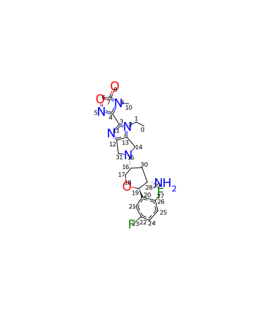 CCn1c(-c2noc(=O)n2C)nc2c1CN([C@H]1CO[C@H](c3cc(F)ccc3F)[C@@H](N)C1)C2